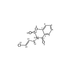 O=C1c2ccccc2OS(=O)N1SC=CCl